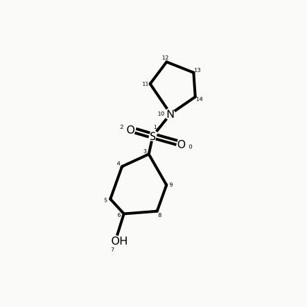 O=S(=O)(C1CCC(O)CC1)N1CCCC1